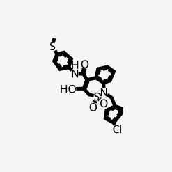 CSc1ccc(NC(=O)C2=C(O)CS(=O)(=O)N(Cc3ccc(Cl)cc3)c3ccccc32)cc1